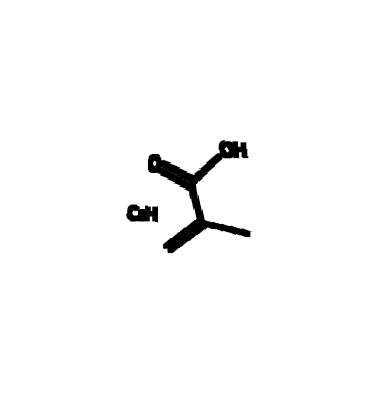 C=C(C)C(=O)O.[CsH]